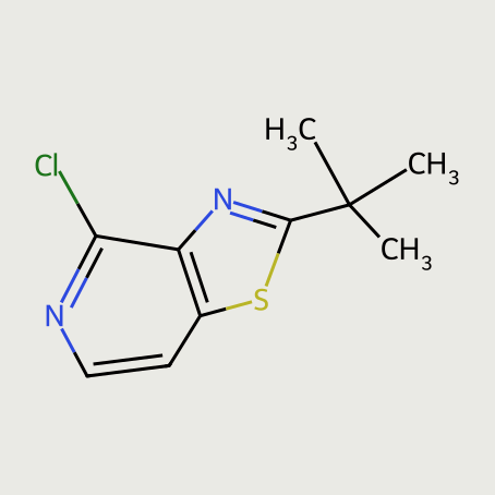 CC(C)(C)c1nc2c(Cl)nccc2s1